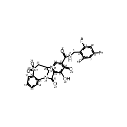 O=C(NCc1c(F)cc(F)cc1F)c1cn2c(c(O)c1=O)C(=O)N1CC2CS(=O)(=O)c2ccccc21